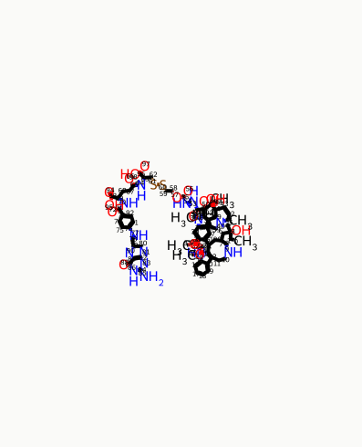 CCC(O)(CC)CC1CNCCc2c([nH]c3ccccc23)[C@@](C(=O)OC)(c2cc3c(cc2OC)N(C)[C@@H]2C34CCN3CC=C[C@@](CC)(C(O)[C@]2(O)C(=O)NNC(=O)OCCSSCC(NC(=O)CCC(NC(=O)c2ccc(NCc5cnc6nc(N)[nH]c(=O)c6n5)cc2)C(=O)O)C(=O)O)[C@H]34)C1